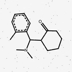 Cc1ccccc1C(C1CCCCC1=O)N(C)C